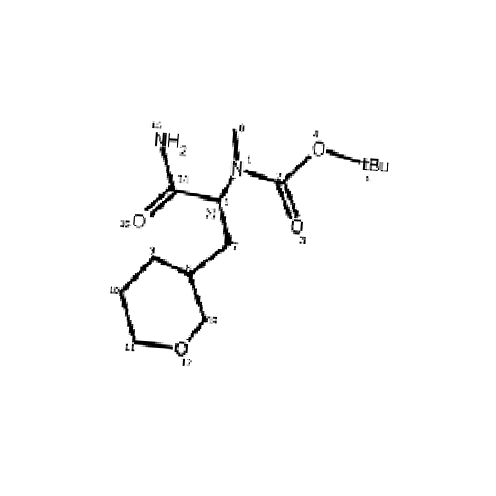 CN(C(=O)OC(C)(C)C)[C@@H](CC1CCCOC1)C(N)=O